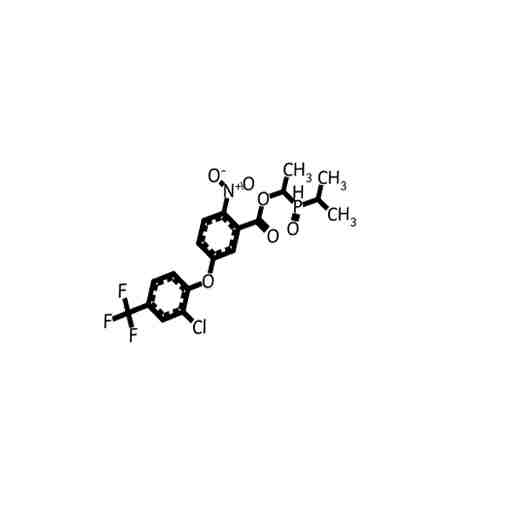 CC(C)[PH](=O)C(C)OC(=O)c1cc(Oc2ccc(C(F)(F)F)cc2Cl)ccc1[N+](=O)[O-]